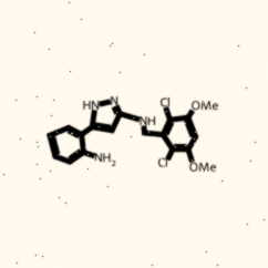 COc1cc(OC)c(Cl)c(CNc2cc(-c3ccccc3N)[nH]n2)c1Cl